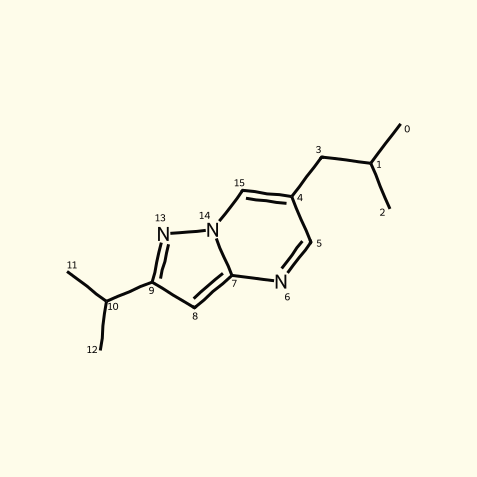 CC(C)Cc1cnc2cc(C(C)C)nn2c1